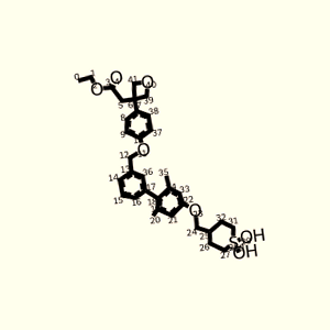 CCOC(=O)CC1(c2ccc(OCc3cccc(-c4c(C)cc(OCC5CCS(O)(O)CC5)cc4C)c3)cc2)COC1